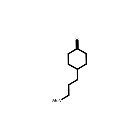 CNCCCC1CCC(=O)CC1